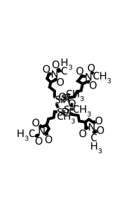 CC(=O)N1C(=O)CC(CCC[SiH]2C[Si](C)(CCCC3CC(=O)N(C(C)=O)C3=O)O[Si](C)(CCCC3CC(=O)N(C(C)=O)C3=O)O[Si](C)(CCCC3CC(=O)N(C(C)=O)C3=O)O2)C1=O